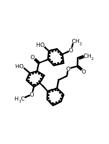 C=CC(=O)OCCc1ccccc1-c1cc(C(=O)c2ccc(OC)cc2O)c(O)cc1OC